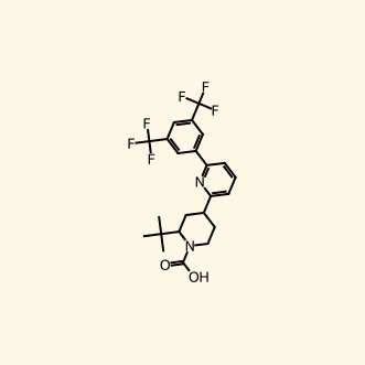 CC(C)(C)C1CC(c2cccc(-c3cc(C(F)(F)F)cc(C(F)(F)F)c3)n2)CCN1C(=O)O